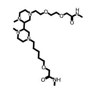 CNC(=O)COCCCCCN1CCN(C)C(C2CN(CCOCCOCC(=O)NC)CCN2C)C1